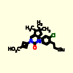 CC1C2=CN(C34CC(C(=O)O)(C3)C4)C(=O)N[C@]2(c2ccc(CCC(C)(C)C)c(Cl)c2)CC1(C)C